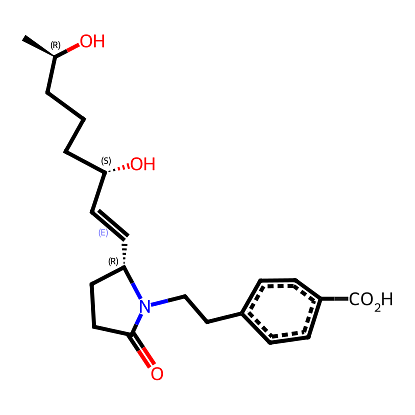 C[C@@H](O)CCC[C@H](O)/C=C/[C@H]1CCC(=O)N1CCc1ccc(C(=O)O)cc1